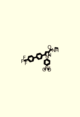 CCNC(=O)c1cc(-c2ccc(-c3ccc(C(F)(F)F)cc3)cc2)n(-c2ccc([N+](=O)[O-])cc2)n1